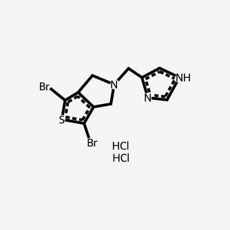 Brc1sc(Br)c2c1CN(Cc1c[nH]cn1)C2.Cl.Cl